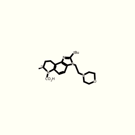 C[C@H]1CCc2c(ccc3c2nc(C(C)(C)C)n3CCN2CCOCC2)N1C(=O)O